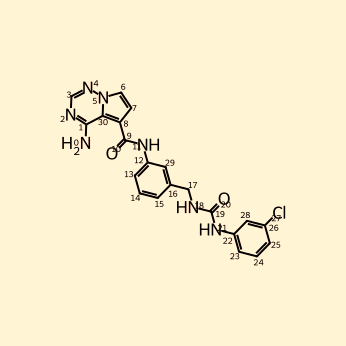 Nc1ncnn2ccc(C(=O)Nc3cccc(CNC(=O)Nc4cccc(Cl)c4)c3)c12